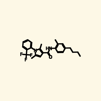 CCCCc1ccc(NC(=O)c2cc(C)n(-c3ccccc3C(F)(F)F)c2C)c(C)c1